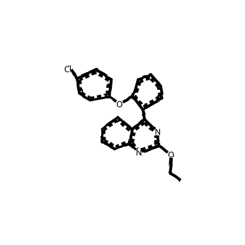 CCOc1nc(-c2ccccc2Oc2ccc(Cl)cc2)c2ccccc2n1